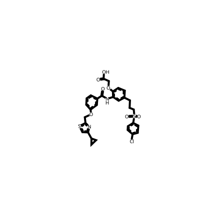 O=C(O)COc1ccc(CCCS(=O)(=O)c2ccc(Cl)cc2)cc1NC(=O)c1cccc(OCc2nc(C3CC3)cs2)c1